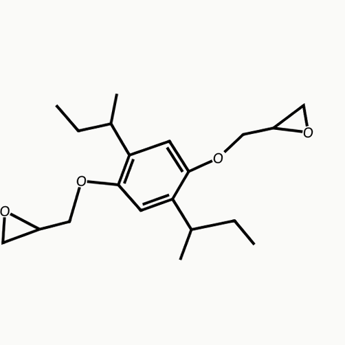 CCC(C)c1cc(OCC2CO2)c(C(C)CC)cc1OCC1CO1